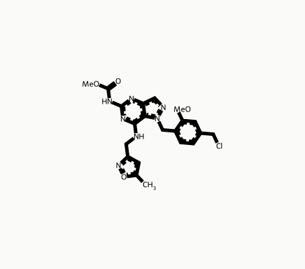 COC(=O)Nc1nc(NCc2cc(C)on2)c2c(cnn2Cc2ccc(CCl)cc2OC)n1